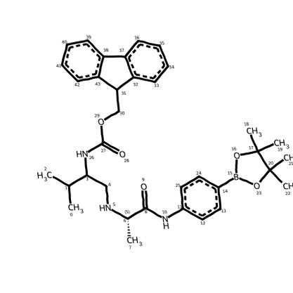 CC(C)C(CN[C@@H](C)C(=O)Nc1ccc(B2OC(C)(C)C(C)(C)O2)cc1)NC(=O)OCC1c2ccccc2-c2ccccc21